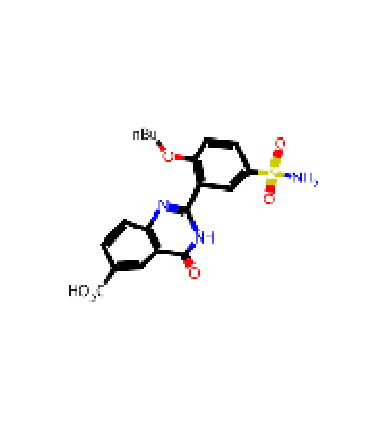 CCCCOc1ccc(S(N)(=O)=O)cc1-c1nc2ccc(C(=O)O)cc2c(=O)[nH]1